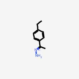 CCc1ccc(/C(C)=N/N)cc1